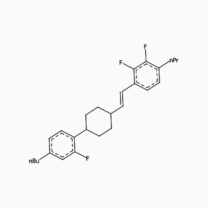 CCCCc1ccc(C2CCC(/C=C/c3ccc(CCC)c(F)c3F)CC2)c(F)c1